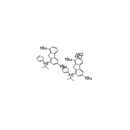 C[C](C)=[Hf]([C]1=CC=CC1)[c]1cc(C(C)(C)C)cc2c1Cc1c-2cccc1C(C)(C)C.C[C](C)=[Hf]([C]1=CC=CC1)[c]1cc(C(C)(C)C)cc2c1Cc1c-2cccc1C(C)(C)C.Cl.Cl